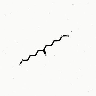 CCSCCCCC(=O)CCCCSCC